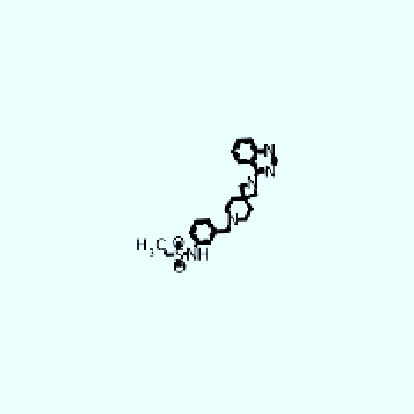 CCS(=O)(=O)Nc1cccc(CN2CCC3(CC2)CN(c2ncnc4ccccc24)C3)c1